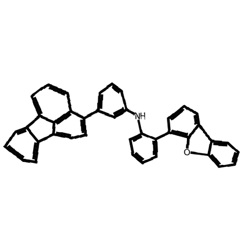 c1cc(Nc2ccccc2-c2cccc3c2oc2ccccc23)cc(-c2ccc3c4c(cccc24)-c2ccccc2-3)c1